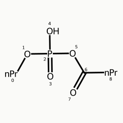 CCCOP(=O)(O)OC(=O)CCC